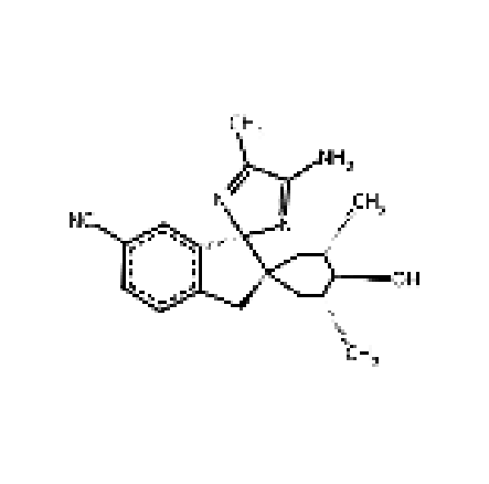 CC1=N[C@]2(N=C1N)c1cc(C#N)ccc1C[C@@]21C[C@@H](C)[C@H](O)[C@@H](C)C1